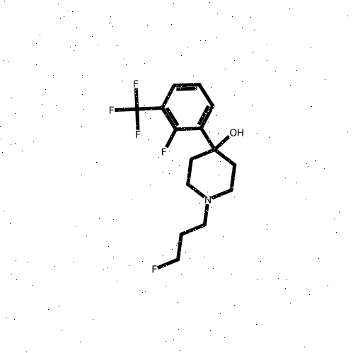 OC1(c2cccc(C(F)(F)F)c2F)CCN(CCCF)CC1